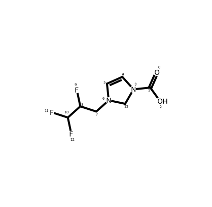 O=C(O)N1C=CN(CC(F)C(F)F)C1